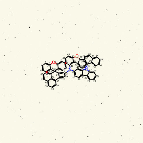 c1ccc2c(c1)Oc1ccccc1C21c2cc(N(c3ccc4c5ccccc5n(-c5cccc6ccccc56)c4c3)c3cccc4oc5ccccc5c34)ccc2-c2cccc3cccc1c23